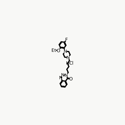 CCOc1ccc(F)cc1N1CCN(CCCCCn2nnc3ccccc3c2=O)CC1.Cl